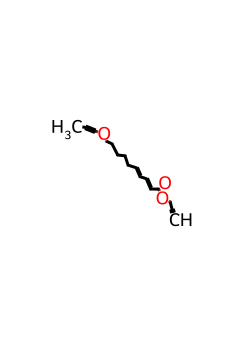 C#CCOC(=O)C=CC=CCCCCCOC#CC